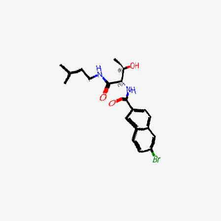 CC(C)C[CH]NC(=O)[C@@H](NC(=O)c1ccc2cc(Br)ccc2c1)[C@@H](C)O